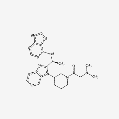 C[C@H](Nc1ncnc2[nH]cnc12)c1nc2ccccc2n1C1CCCN(C(=O)CN(C)C)C1